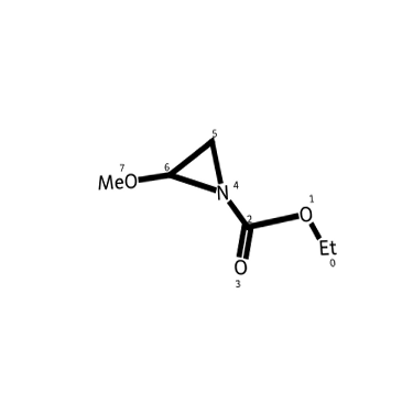 CCOC(=O)N1CC1OC